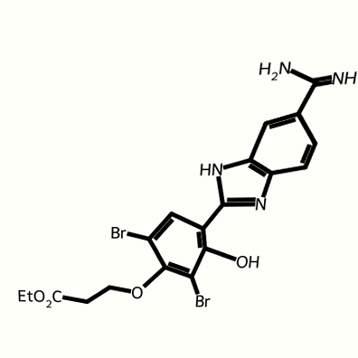 CCOC(=O)CCOc1c(Br)cc(-c2nc3ccc(C(=N)N)cc3[nH]2)c(O)c1Br